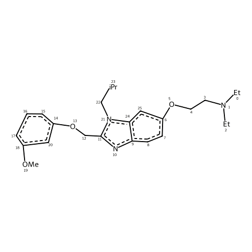 CCN(CC)CCOc1ccc2nc(COc3cccc(OC)c3)n(CC(C)C)c2c1